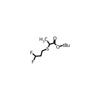 CC(SCCC(F)F)C(=O)OC(C)(C)C